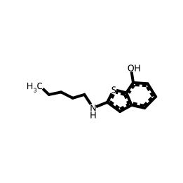 CCCCCNc1cc2cccc(O)c2s1